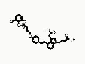 Cc1c(Cl)cccc1OCCCCOc1ccc(/C=C/c2cccc3c2c(CC(=O)O)cn3CCCC(=O)O)cc1